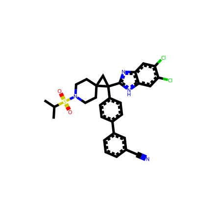 CC(C)S(=O)(=O)N1CCC2(CC1)CC2(c1ccc(-c2cccc(C#N)c2)cc1)c1nc2cc(Cl)c(Cl)cc2[nH]1